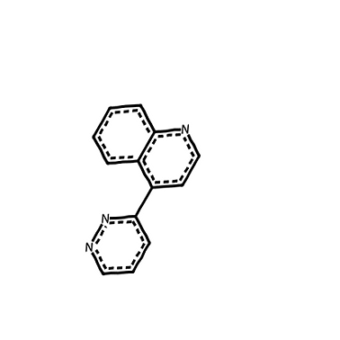 c1cnnc(-c2ccnc3ccccc23)c1